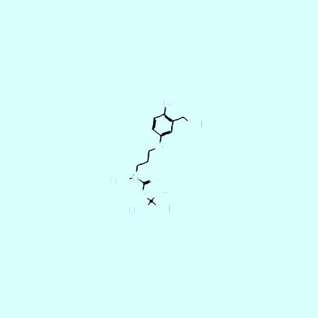 CCc1cc(OCCCN(C)C(=O)OC(C)(C)C)ccc1Br